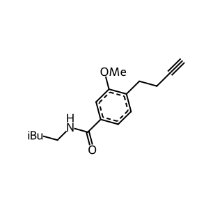 C#CCCc1ccc(C(=O)NCC(C)CC)cc1OC